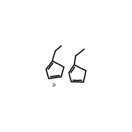 CCC1=CC=CC1.CCC1=CC=CC1.[Zr]